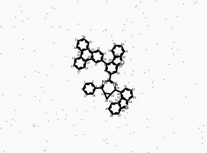 c1ccc(C2=NC(c3cc(-c4ccc5c6ccccc6c6ccccc6c5c4)c4c(c3)oc3ccccc34)=NC(c3cccc4sc5ccccc5c34)C3CC23)cc1